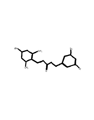 CCC1CC(CC)CC(CCC(=O)CCC2C(C)CC(C(C)(C)C)CC2C)C1